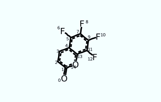 O=c1ccc2c(F)c(F)c(F)c(F)c2o1